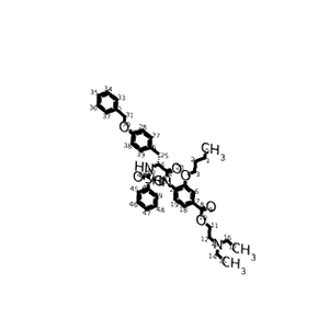 CCCCOc1cc(C(=O)OCCN(CC)CC)ccc1NC(=O)[C@@H](Cc1ccc(OCc2ccccc2)cc1)NS(=O)(=O)c1ccccc1